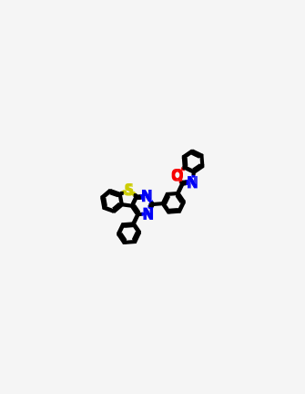 c1ccc(-c2nc(-c3cccc(-c4nc5ccccc5o4)c3)nc3sc4ccccc4c23)cc1